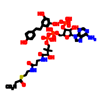 CC(C)(COP(=O)(O)OP(=O)(O)OC[C@H]1O[C@@H](n2cnc3c(N)ncnc32)[C@H](O)[C@@H]1OP(=O)(O)O)C(O)C(=O)NCCC(=O)NCCSC(=O)CC(=O)O.Oc1ccc(C=Cc2cc(O)cc(O)c2)cc1